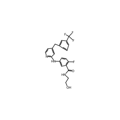 O=C(NCCO)c1cc(Nc2cc(Cc3cccc(C(F)(F)F)c3)ccn2)ccc1F